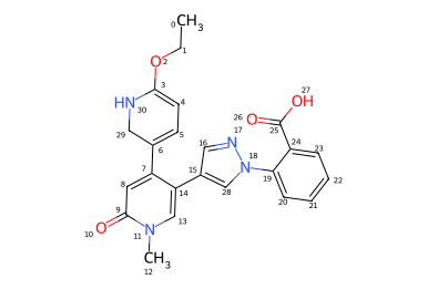 CCOC1=CC=C(c2cc(=O)n(C)cc2-c2cnn(-c3ccccc3C(=O)O)c2)CN1